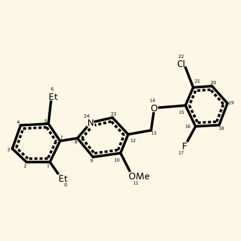 CCc1cccc(CC)c1-c1cc(OC)c(COc2c(F)cccc2Cl)cn1